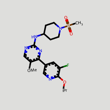 COc1cnc(NC2CCN(S(C)(=O)=O)CC2)nc1-c1cnc(OC(C)C)c(F)c1